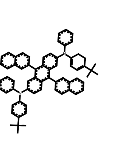 CC(C)(C)C1=CC=C(N(c2ccccc2)c2ccc3c(-c4ccc5ccccc5c4)c4cc(N(c5ccccc5)c5ccc(C(C)(C)C)cc5)ccc4c(-c4ccc5ccccc5c4)c3c2)CC1